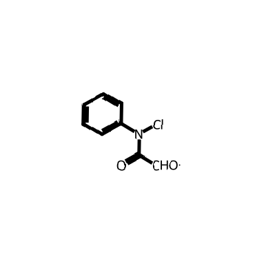 O=[C]C(=O)N(Cl)c1ccccc1